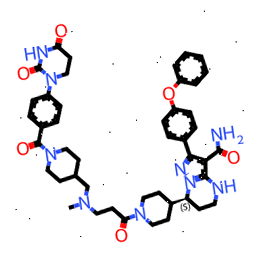 CN(CCC(=O)N1CCC([C@@H]2CCNc3c(C(N)=O)c(-c4ccc(Oc5ccccc5)cc4)nn32)CC1)CC1CCN(C(=O)c2ccc(N3CCC(=O)NC3=O)cc2)CC1